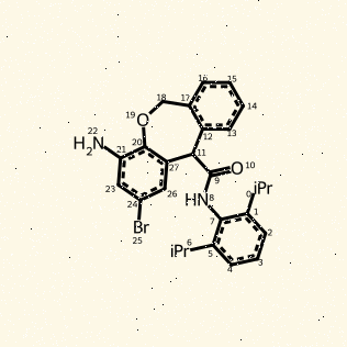 CC(C)c1cccc(C(C)C)c1NC(=O)C1c2ccccc2COc2c(N)cc(Br)cc21